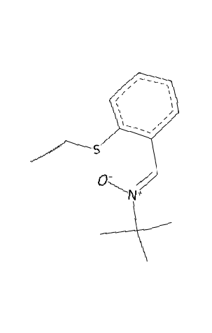 CCSc1ccccc1C=[N+]([O-])C(C)(C)C